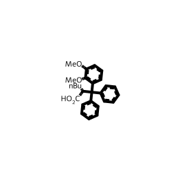 CCCCC(C(=O)O)C(c1ccccc1)(c1ccccc1)c1cccc(OC)c1OC